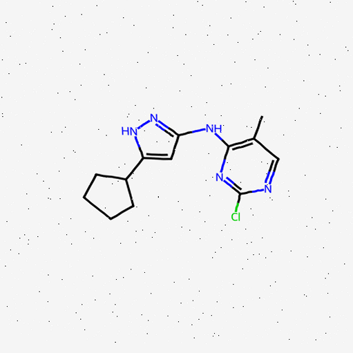 Cc1cnc(Cl)nc1Nc1cc(C2CCCC2)[nH]n1